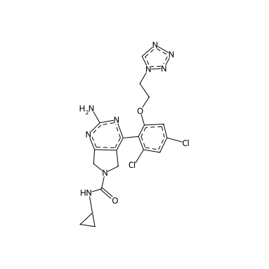 Nc1nc2c(c(-c3c(Cl)cc(Cl)cc3OCCn3cnnn3)n1)CN(C(=O)NC1CC1)C2